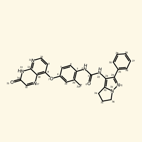 O=C(Nc1ccc(Oc2ccnc3[nH]c(=O)cnc23)cc1F)Nc1c(-c2ccccc2)nn2c1CCC2